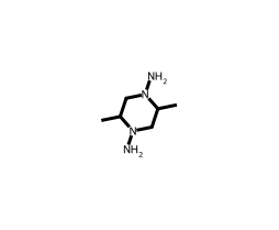 CC1CN(N)C(C)CN1N